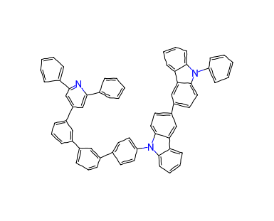 c1ccc(-c2cc(-c3cccc(-c4cccc(-c5ccc(-n6c7ccccc7c7cc(-c8ccc9c(c8)c8ccccc8n9-c8ccccc8)ccc76)cc5)c4)c3)cc(-c3ccccc3)n2)cc1